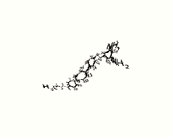 CCCCCC1CCC(C2CCC(c3ccc(CCc4cc(N)cc(N)c4)cc3)CC2)CC1